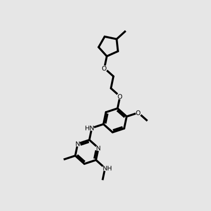 CNc1cc(C)nc(Nc2ccc(OC)c(OCCOC3CCC(C)C3)c2)n1